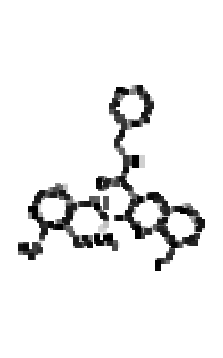 C[C@H](Nc1ncnc(N)c1C#N)c1nc2c(Cl)cccc2cc1C(=O)NCc1ccccc1